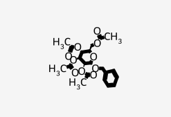 CC(=O)OC[C@H]1O[C@@H](OCc2ccccc2)[C@H](OC(C)=O)[C@@H](OC(C)=O)[C@H]1OC(C)=O